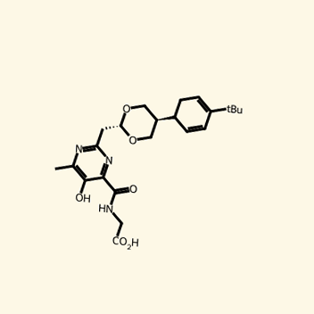 Cc1nc(C[C@H]2OC[C@H](C3C=CC(C(C)(C)C)=CC3)CO2)nc(C(=O)NCC(=O)O)c1O